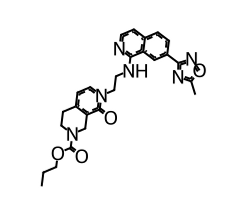 CCCOC(=O)N1CCc2ccn(CCNc3nccc4ccc(-c5noc(C)n5)cc34)c(=O)c2C1